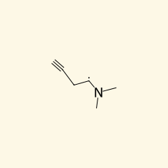 C#CC[CH]N(C)C